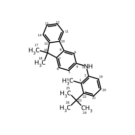 Cc1c(Nc2ccc3c(c2)-c2ccccc2C3(C)C)cccc1C(C)(C)C